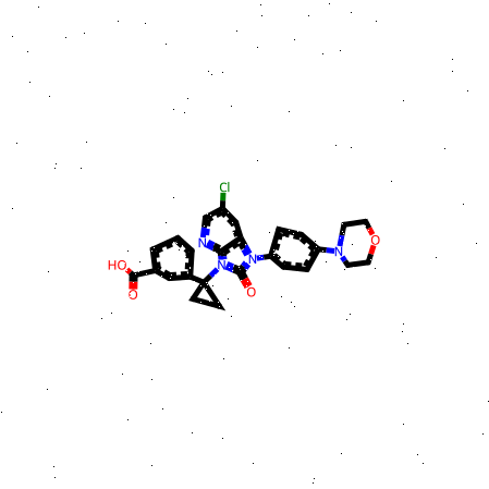 O=C(O)c1cccc(C2(n3c(=O)n(-c4ccc(N5CCOCC5)cc4)c4cc(Cl)cnc43)CC2)c1